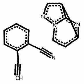 C#Cc1ccccc1C#N.c1cn2ncc3c2nc1-3